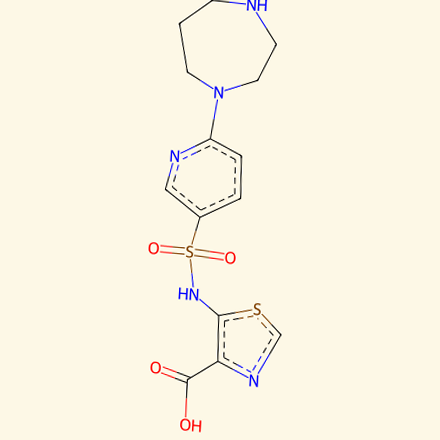 O=C(O)c1ncsc1NS(=O)(=O)c1ccc(N2CCCNCC2)nc1